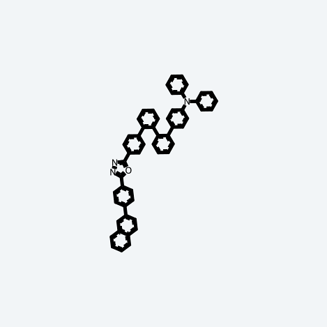 c1ccc(N(c2ccccc2)c2ccc(-c3ccccc3-c3ccccc3-c3ccc(-c4nnc(-c5ccc(-c6ccc7ccccc7c6)cc5)o4)cc3)cc2)cc1